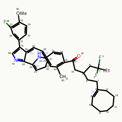 CCC(F)(F)CC(CC/C1=C/CCCCCC1)CC(=O)c1ccc(N/C2=C\C/C=C\C=C3\C(c4ccc(OC)c(F)c4)=CN=C23)cc1C